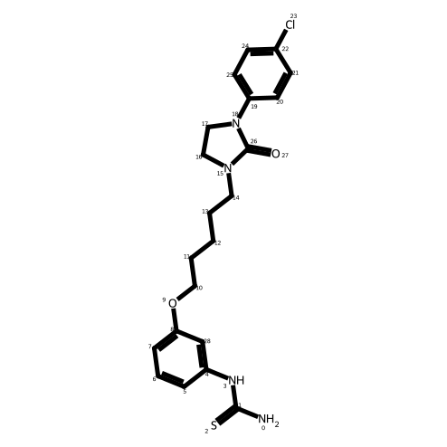 NC(=S)Nc1cccc(OCCCCCN2CCN(c3ccc(Cl)cc3)C2=O)c1